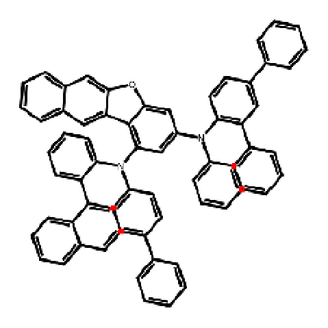 c1ccc(-c2ccc(N(c3ccccc3-c3cccc4ccccc34)c3cc(N(c4ccccc4)c4ccc(-c5ccccc5)cc4-c4ccccc4)cc4oc5cc6ccccc6cc5c34)cc2)cc1